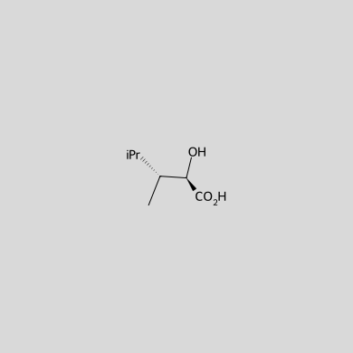 CC(C)[C@@H](C)[C@@H](O)C(=O)O